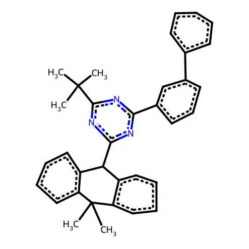 CC(C)(C)c1nc(-c2cccc(-c3ccccc3)c2)nc(C2c3ccccc3C(C)(C)c3ccccc32)n1